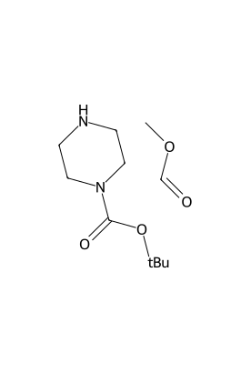 CC(C)(C)OC(=O)N1CCNCC1.COC=O